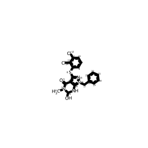 CN1C(=O)c2c(Sc3cccc(Cl)c3Cl)nn(Cc3ccccc3)c2NC1O